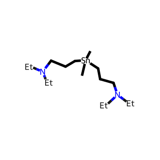 CCN(CC)CC[CH2][Sn]([CH3])([CH3])[CH2]CCN(CC)CC